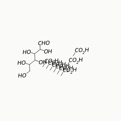 CC(=O)O.CC(=O)O.CC(=O)O.CC(=O)O.CC(=O)O.CC(=O)O.CC(=O)O.CC(=O)O.O=CC(O)C(O)C(O)C(O)CO